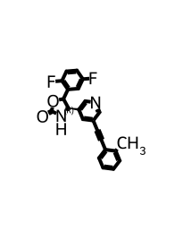 Cc1ccccc1C#Cc1cncc([C@H]2NC(=O)OC2c2cc(F)ccc2F)c1